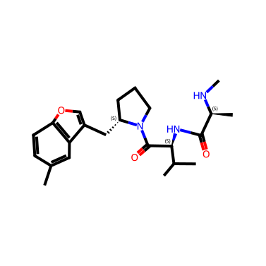 CN[C@@H](C)C(=O)N[C@H](C(=O)N1CCC[C@H]1Cc1coc2ccc(C)cc12)C(C)C